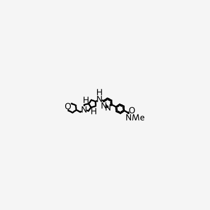 CNC(=O)c1ccc(-c2ccc(NC3C[C@@H]4CN(CC5CCOCC5)C[C@@H]4C3)nn2)cc1